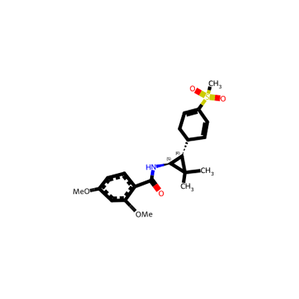 COc1ccc(C(=O)N[C@H]2[C@H](C3C=CC(S(C)(=O)=O)=CC3)C2(C)C)c(OC)c1